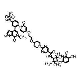 CCS(=O)(=O)Nc1ccc(-n2ccc(OCCOC3CCN(c4ncc(C(=O)NC5C(C)(C)C(Oc6ccc(C#N)c(Cl)c6)C5(C)C)cn4)CC3)cc2=O)c(-c2cn(C)c(=O)c3[nH]ccc23)c1